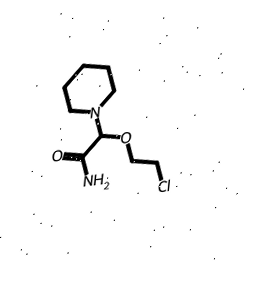 NC(=O)C(OCCCl)N1CCCCC1